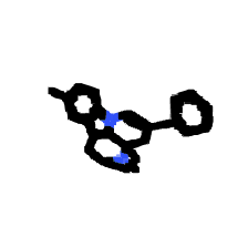 Cc1ccc2c(c1)c1c3n2C=C(c2ccccc2)CC32CCC(C1)N2C